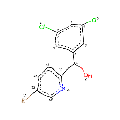 OC(c1cc(Cl)cc(Cl)c1)c1ccc(Br)cn1